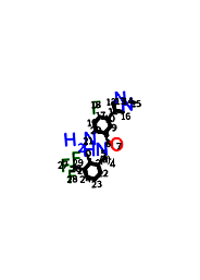 Cc1c([C@@H](C)NC(=O)c2cc(-c3cnn(C)c3)c(F)cc2N)cccc1C(F)(F)F